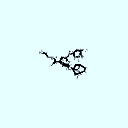 Cc1cc(Nc2cc(C(=O)NCCO)nc(N[C@@H]3C[C@H]4CC[C@@H](C3)N4CCC#N)n2)n[nH]1